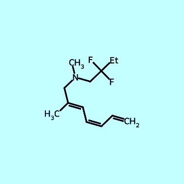 C=C/C=C\C=C(/C)CN(C)CC(F)(F)CC